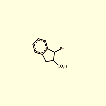 CCC1c2ccccc2CC1C(=O)O